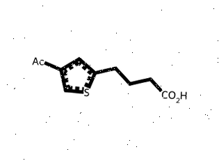 CC(=O)c1csc(CCCC(=O)O)c1